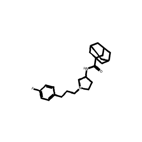 O=C(NC1CCN(CCCc2ccc(F)cc2)C1)C12CC3CC(CC(C3)C1)C2